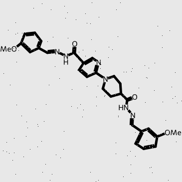 COc1cccc(/C=N/NC(=O)c2ccc(N3CCC(C(=O)N/N=C/c4cccc(OC)c4)CC3)nc2)c1